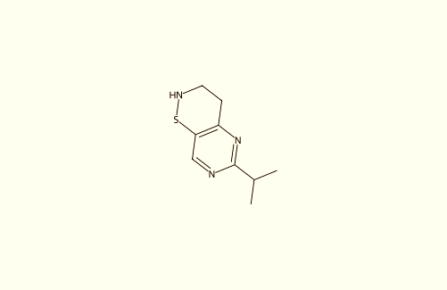 CC(C)c1ncc2c(n1)CCNS2